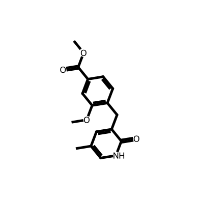 COC(=O)c1ccc(Cc2cc(C)c[nH]c2=O)c(OC)c1